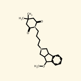 COC1c2ccccc2C2CN(CCCCN3C(=O)CC(C)(C)CC3=O)CC21